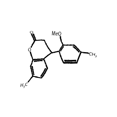 COc1cc(C)ccc1C1CC(=O)Oc2cc(C)ccc21